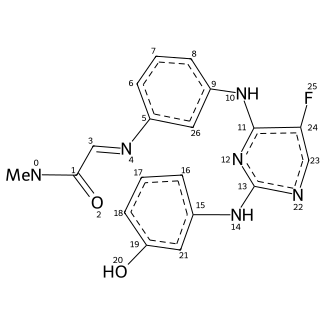 CNC(=O)C=Nc1cccc(Nc2nc(Nc3cccc(O)c3)ncc2F)c1